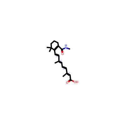 CNC(=O)C1=C(/C=C/C(C)=C/C=C/C(C)=C/C(=O)O)C(C)(C)CCC1